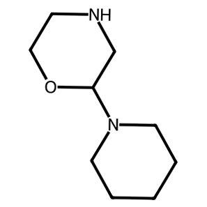 C1CCN(C2CNCCO2)CC1